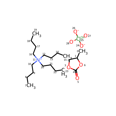 CC1COC(=O)O1.CCCC[N+](CCCC)(CCCC)CCCC.[O-][Cl+3]([O-])([O-])[O-]